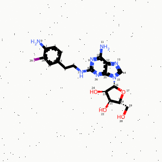 Nc1ccc(CCNc2nc(N)c3ncn([C@@H]4O[C@H](CO)[C@@H](O)[C@H]4O)c3n2)cc1I